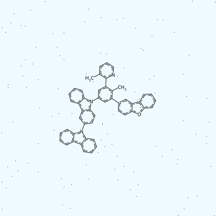 Cc1cccnc1-c1cc(-n2c3ccccc3c3cc(-n4c5ccccc5c5ccccc54)ccc32)cc(-c2ccc3oc4ccccc4c3c2)c1C